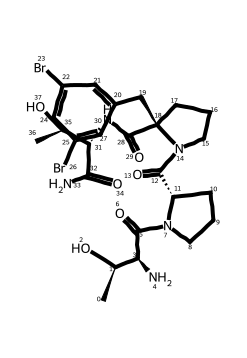 C[C@@H](O)[C@H](N)C(=O)N1CCC[C@H]1C(=O)N1CCC[C@@]1(Cc1cc(Br)cc(Br)c1)C(=O)N[C@H](C(N)=O)[C@@H](C)O